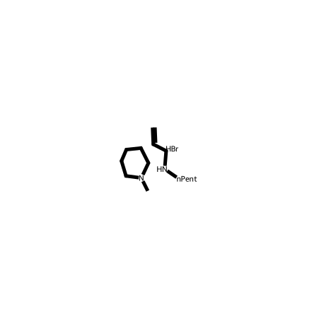 Br.C=CCNCCCCC.CN1CCCCC1